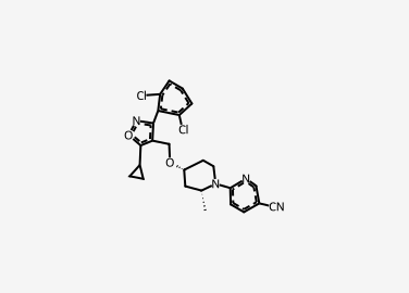 C[C@@H]1C[C@H](OCc2c(-c3c(Cl)cccc3Cl)noc2C2CC2)CCN1c1ccc(C#N)cn1